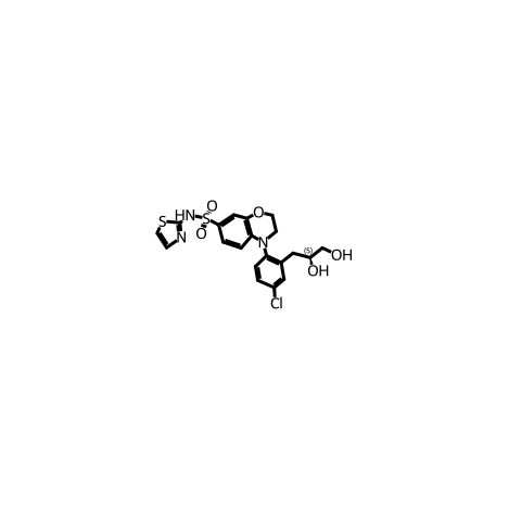 O=S(=O)(Nc1nccs1)c1ccc2c(c1)OCCN2c1ccc(Cl)cc1C[C@H](O)CO